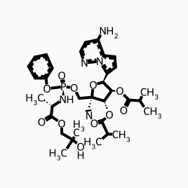 CC(C)C(=O)O[C@H]1[C@H](c2ccc3c(N)ccnn23)O[C@](C#N)(CO[P@](=O)(N[C@@H](C)C(=O)OCC(C)(C)O)Oc2ccccc2)[C@H]1OC(=O)C(C)C